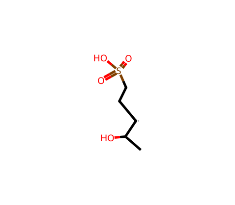 CC(O)[CH]CCS(=O)(=O)O